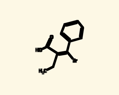 CCC(C(=O)O)=C(Br)c1ccccc1